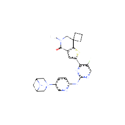 CN1CC2(CCC2)c2sc(-c3nc(Nc4ccc(N5CC6CC(C5)N6C)cn4)ncc3F)cc2C1=O